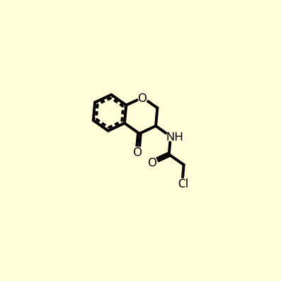 O=C(CCl)NC1COc2ccccc2C1=O